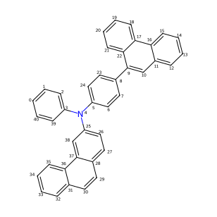 c1ccc(N(c2ccc(-c3cc4ccccc4c4ccccc34)cc2)c2ccc3ccc4ccccc4c3c2)cc1